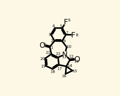 O=C1c2ccc(F)c(F)c2CN2C(=O)C3(CC3)c3cccc1c32